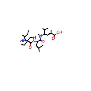 CCC(C)NC(CC)(CC)C(=O)NC(CC(C)C)C(=O)N(C)C(/C=C(\C)C(=O)O)C(C)C